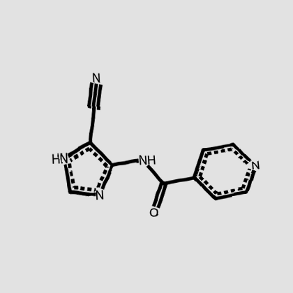 N#Cc1[nH]cnc1NC(=O)c1ccncc1